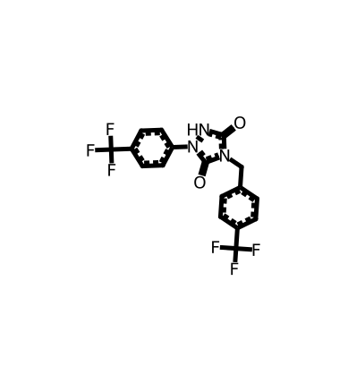 O=c1[nH]n(-c2ccc(C(F)(F)F)cc2)c(=O)n1Cc1ccc(C(F)(F)F)cc1